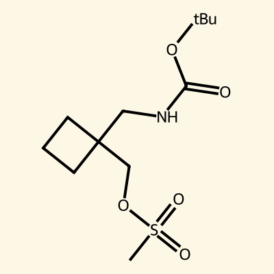 CC(C)(C)OC(=O)NCC1(COS(C)(=O)=O)CCC1